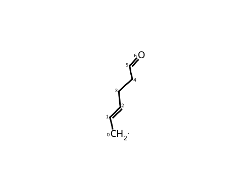 [CH2]C=CCCC=O